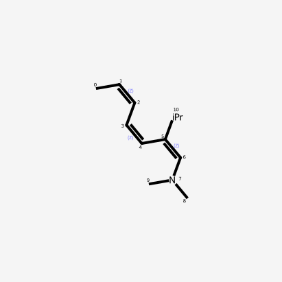 C\C=C/C=C\C(=C/N(C)C)C(C)C